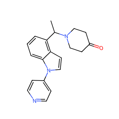 CC(c1cccc2c1ccn2-c1ccncc1)N1CCC(=O)CC1